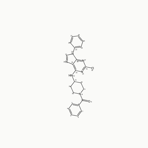 O=C(c1ccccc1)N1CCC(Nc2nc(Cl)nc3c2ncn3-c2ccccc2)CC1